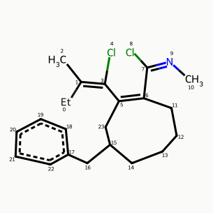 CC\C(C)=C(Cl)/C1=C(\C(Cl)=N/C)CCCCC(Cc2ccccc2)C1